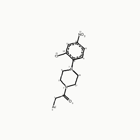 CC(=O)CC(=O)N1CCN(c2ccc([N+](=O)[O-])cc2Cl)CC1